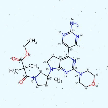 CCOC(=O)C(C)(C)C(=O)N1CC[C@](C)(N2CCc3c(-c4cnc(N)nc4)nc(N4CCOCC4)nc32)C1